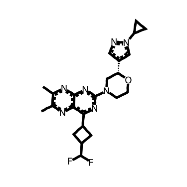 Cc1nc2nc(N3CCO[C@@H](c4cnn(C5CC5)c4)C3)nc(C3CC(C(F)F)C3)c2nc1C